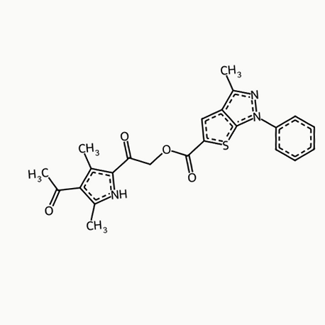 CC(=O)c1c(C)[nH]c(C(=O)COC(=O)c2cc3c(C)nn(-c4ccccc4)c3s2)c1C